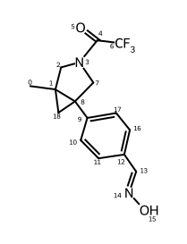 CC12CN(C(=O)C(F)(F)F)CC1(c1ccc(/C=N/O)cc1)C2